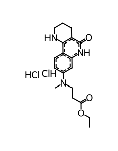 CCOC(=O)CCN(C)c1ccc2c3c(c(=O)[nH]c2c1)CCCN3.Cl.Cl